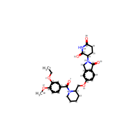 CCOc1cc(C(=O)N2CCCCC2COc2ccc3c(c2)CN(C2CCC(=O)NC2=O)C3=O)ccc1OC